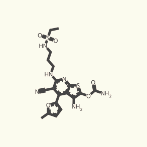 CCS(=O)(=O)NCCCNc1nc2sc(OC(N)=O)c(N)c2c(-c2ccc(C)o2)c1C#N